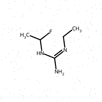 CC/N=C(/N)NC(C)F